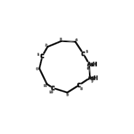 C1CCCCC[AsH][AsH]CCCC1